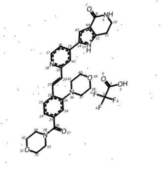 O=C(O)C(F)(F)F.O=C1NCCc2[nH]c(-c3ccnc(C=Cc4ccc(C(=O)N5CCOCC5)cc4N4CCOCC4)c3)cc21